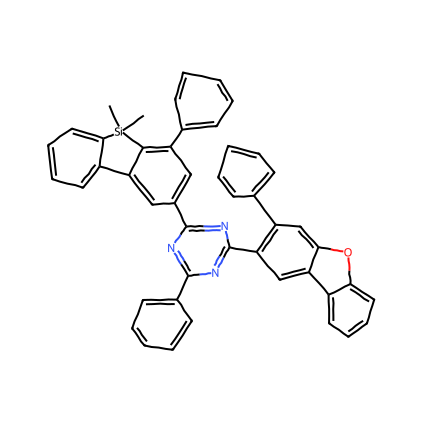 C[Si]1(C)c2ccccc2-c2cc(-c3nc(-c4ccccc4)nc(-c4cc5c(cc4-c4ccccc4)oc4ccccc45)n3)cc(-c3ccccc3)c21